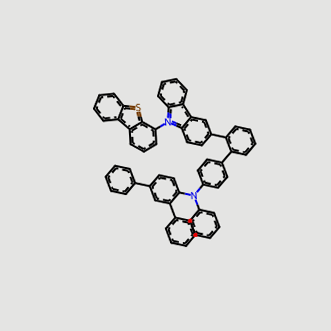 c1ccc(-c2ccc(N(c3ccccc3)c3ccc(-c4ccccc4-c4ccc5c(c4)c4ccccc4n5-c4cccc5c4sc4ccccc45)cc3)c(-c3ccccc3)c2)cc1